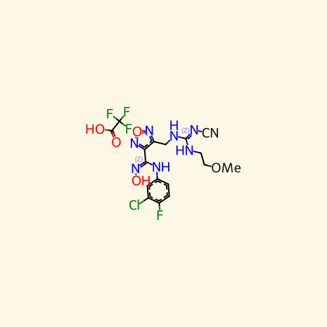 COCCN/C(=N\C#N)NCc1nonc1/C(=N/O)Nc1ccc(F)c(Cl)c1.O=C(O)C(F)(F)F